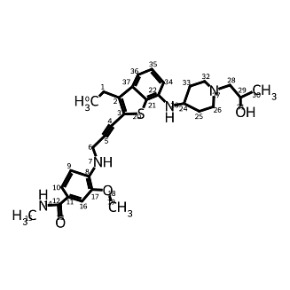 CCc1c(C#CCNc2ccc(C(=O)NC)cc2OC)sc2c(NC3CCN(CC(C)O)CC3)cccc12